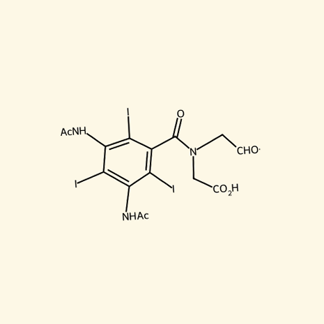 CC(=O)Nc1c(I)c(NC(C)=O)c(I)c(C(=O)N(C[C]=O)CC(=O)O)c1I